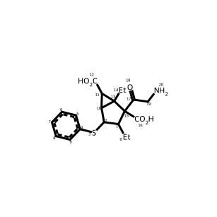 CCC1C(Sc2ccccc2)C2C(C(=O)O)C2(CC)C1(C(=O)O)C(=O)CN